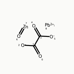 O=C([O-])C(=O)[O-].[O]=[Zn].[Pb+2]